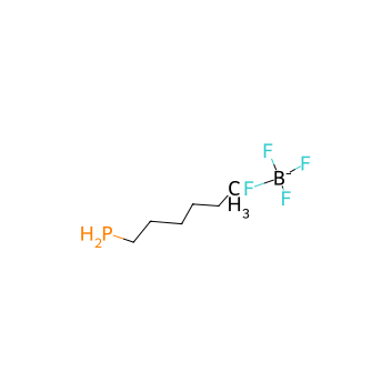 CCCCCCP.F[B-](F)(F)F